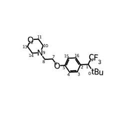 CC(C)(C)C(c1ccc(OCCN2CCOCC2)cc1)C(F)(F)F